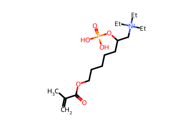 C=C(C)C(=O)OCCCCCC(C[N+](CC)(CC)CC)OP(=O)(O)O